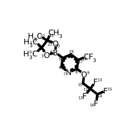 CC1(C)OB(c2cnc(OCC(F)(F)C(F)F)c(C(F)(F)F)c2)OC1(C)C